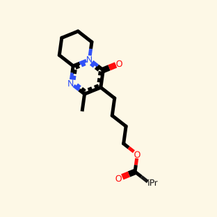 Cc1nc2n(c(=O)c1CCCCOC(=O)C(C)C)CCCC2